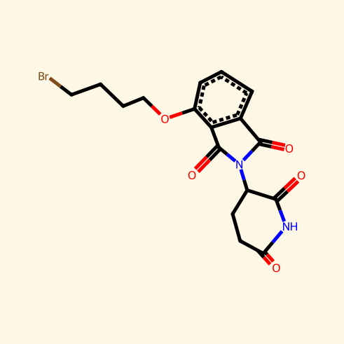 O=C1CCC(N2C(=O)c3cccc(OCCCCBr)c3C2=O)C(=O)N1